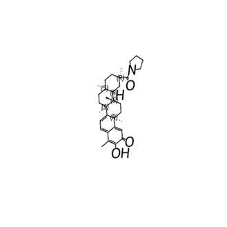 CC1=C(O)C(=O)C=C2C1=CC=C1[C@@]2(C)CC[C@@]2(C)[C@@H]3C[C@](C)(C(=O)N4CCCC4)CC[C@]3(C)CC[C@]12C